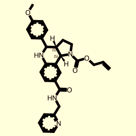 C=CCOC(=O)N1CC[C@H]2C(c3ccc(OC)cc3)Nc3ccc(C(=O)NCc4ccccn4)cc3[C@H]21